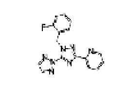 Fc1ccccc1Cn1nc(-c2ccccn2)nc1-n1nccn1